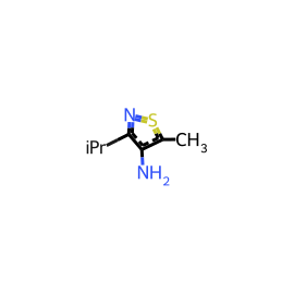 Cc1snc(C(C)C)c1N